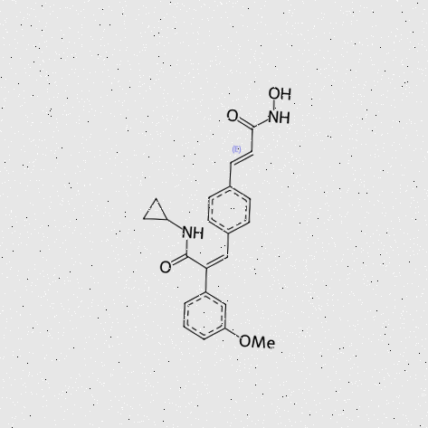 COc1cccc(C(=Cc2ccc(/C=C/C(=O)NO)cc2)C(=O)NC2CC2)c1